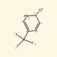 FC(F)(F)C1=CNN(Cl)C=C1